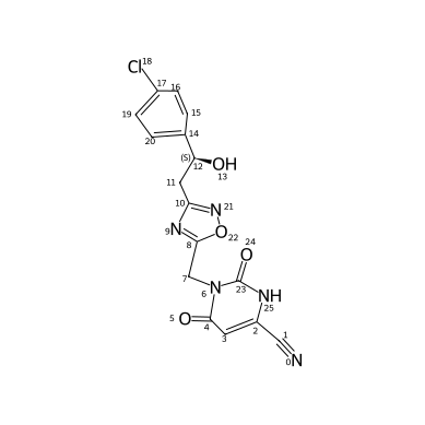 N#Cc1cc(=O)n(Cc2nc(C[C@H](O)c3ccc(Cl)cc3)no2)c(=O)[nH]1